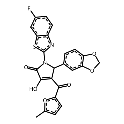 Cc1ccc(C(=O)C2=C(O)C(=O)N(c3nc4ccc(F)cc4s3)C2c2ccc3c(c2)OCO3)o1